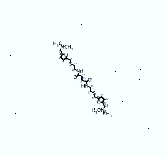 CN(C)Cc1ccc(CSCCNC(=O)/C=C/C(=O)NCCSCc2ccc(CN(C)C)o2)o1